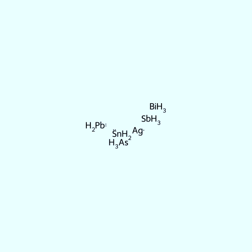 [Ag].[AsH3].[BiH3].[PbH2].[SbH3].[SnH2]